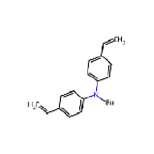 C=Cc1ccc(N(c2ccc(C=C)cc2)C(C)CC)cc1